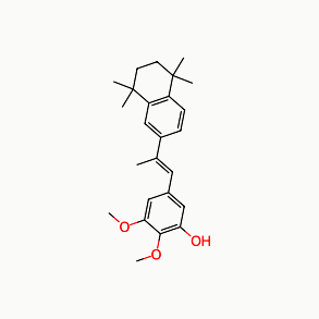 COc1cc(/C=C(\C)c2ccc3c(c2)C(C)(C)CCC3(C)C)cc(O)c1OC